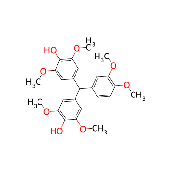 COc1ccc(C(c2cc(OC)c(O)c(OC)c2)c2cc(OC)c(O)c(OC)c2)cc1OC